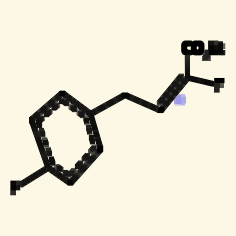 CCOC(=O)/C(F)=C\Cc1ccc(F)cc1